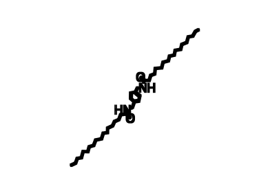 CCCCCCCCCCCCCCCCCC(=O)NCc1ccc(CNC(=O)CCCCCCCCCCCCCCCCC)cc1